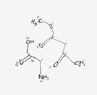 COC(=O)CC(C)=O.NCC(=O)O